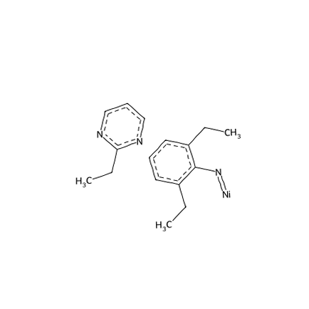 CCc1cccc(CC)c1[N]=[Ni].CCc1ncccn1